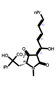 CCC/C=C/C=C/C(O)=C1\C(=O)[C@@H](CC(O)(C(=O)O)C(C)C)N(C)C1=O